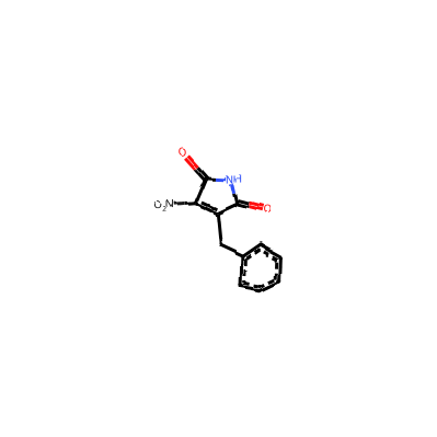 O=C1NC(=O)C([N+](=O)[O-])=C1Cc1ccccc1